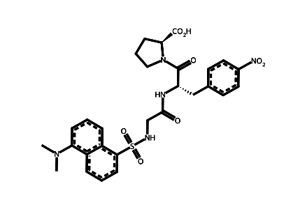 CN(C)c1cccc2c(S(=O)(=O)NCC(=O)N[C@@H](Cc3ccc([N+](=O)[O-])cc3)C(=O)N3CCC[C@H]3C(=O)O)cccc12